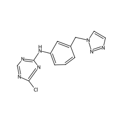 Clc1ncnc(Nc2cccc(Cn3ccnn3)c2)n1